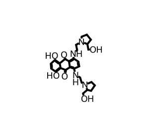 O=C1c2c(O)ccc(O)c2C(=O)c2c(NCCN3CCCC3CO)ccc(NCCN3CCCC3CO)c21